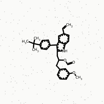 C=Cc1ccc2[nH]c(CC(Cc3cccc(OC)c3)OC=O)c(-c3ccc(C(C)(C)C)cc3)c2c1